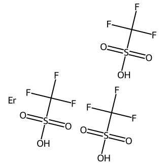 O=S(=O)(O)C(F)(F)F.O=S(=O)(O)C(F)(F)F.O=S(=O)(O)C(F)(F)F.[Er]